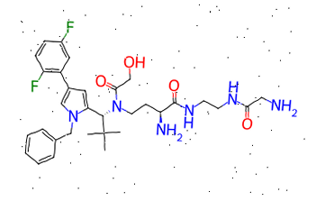 CC(C)(C)[C@H](c1cc(-c2cc(F)ccc2F)cn1Cc1ccccc1)N(CC[C@H](N)C(=O)NCCNC(=O)CN)C(=O)CO